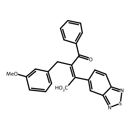 COc1cccc(C/C(C(=O)c2ccccc2)=C(\C(=O)O)c2ccc3nsnc3c2)c1